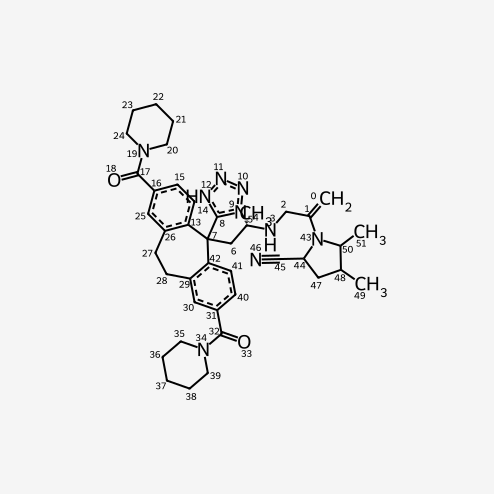 C=C(CN[C@@H](C)CC1(c2nnn[nH]2)c2ccc(C(=O)N3CCCCC3)cc2CCc2cc(C(=O)N3CCCCC3)ccc21)N1C(C#N)CC(C)C1C